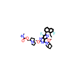 CCc1c(F)ccc2cccc(-c3nc(OC)c4c(N5CC6CCC(C6)C5)nc(OC[C@]56CCCN5[C@@H](COC(=O)N(C)C)CC6)nc4c3F)c12